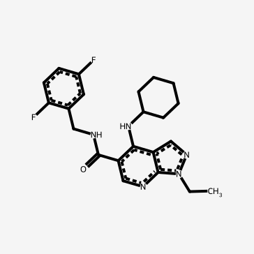 CCn1ncc2c(NC3CCCCC3)c(C(=O)NCc3cc(F)ccc3F)cnc21